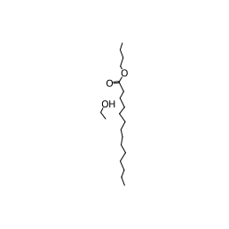 CCCCCCCCCCCCCC(=O)OCCCC.CCO